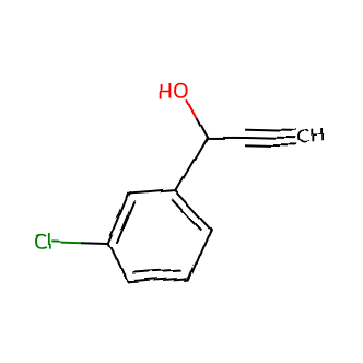 C#CC(O)c1cccc(Cl)c1